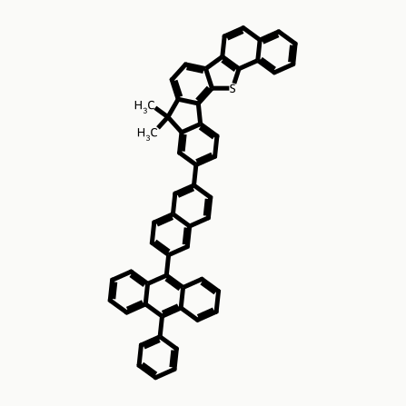 CC1(C)c2cc(-c3ccc4cc(-c5c6ccccc6c(-c6ccccc6)c6ccccc56)ccc4c3)ccc2-c2c1ccc1c2sc2c3ccccc3ccc12